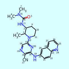 CC1C(NC(=O)N(C)C)CCCN1c1cnc(C#N)c(Nc2ccc3ncccc3c2)n1